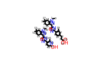 CCn1nc(-c2nc(-c3ccc(CCC(=O)O)cc3C)no2)c2c1CC(C)(C)CC2.CCn1nc(-c2nc(-c3ccc(O)nc3C)no2)c2c1CC(C)(C)CC2